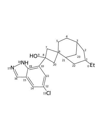 CCC1CC2CCC3(CC(O)(c4cc(Cl)cc5cn[nH]c45)C3)C(C1)C2